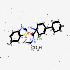 CC(C)c1ccc2nc(NC3(C(=O)N[C@H](C(=O)O)C(C)C)C=CC(c4ccccc4)=CC3Cl)sc2c1